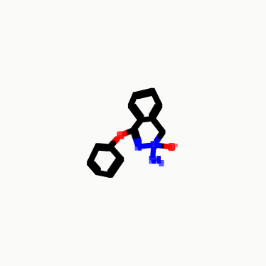 N[N+]1([O-])Cc2ccccc2C(Oc2ccccc2)=N1